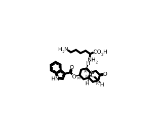 NCCCCC(N)C(=O)O.O=C(O[C@@H]1C[C@@H]2C[C@@H]3C[C@H](C1)N2CC3=O)c1c[nH]c2ccccc12